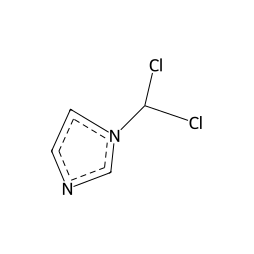 ClC(Cl)n1ccnc1